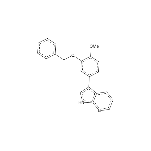 COc1ccc(-c2c[nH]c3ncccc23)cc1OCc1ccccc1